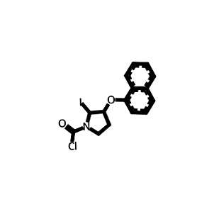 O=C(Cl)N1CCC(Oc2cccc3ccccc23)C1I